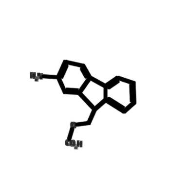 Nc1ccc2c(c1)C(COC(=O)O)c1ccccc1-2